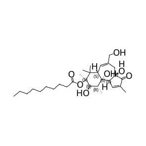 CCCCCCCCCC(=O)O[C@]1(C)[C@H](O)[C@@H](C)[C@@]2(O)[C@@H](C=C(CO)C[C@]3(O)C(=O)C(C)=C[C@@H]23)C1(C)C